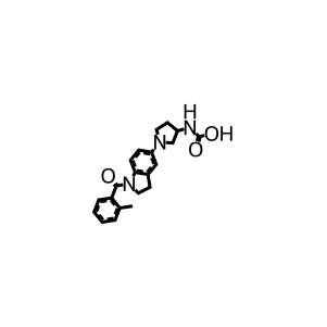 Cc1ccccc1C(=O)N1CCc2cc(N3CCC(NC(=O)O)C3)ccc21